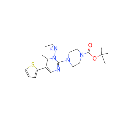 C/C=N\N1C(N2CCN(C(=O)OC(C)(C)C)CC2)=NC=C(c2cccs2)C1C